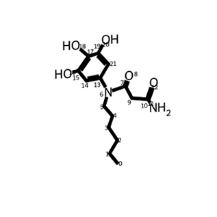 CCCCCCN(C(=O)CC(N)=O)c1cc(O)c(O)c(O)c1